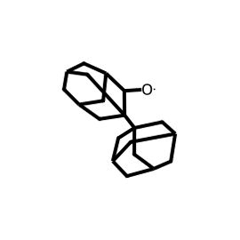 [O]C1C2CC3CC(C2)CC1(C12CC4CC(CC(C4)C1)C2)C3